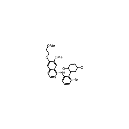 COCCOc1cc2ncnc(Nc3cccc(Br)c3C3=CC(=O)C=CC3=O)c2cc1OC